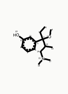 CCC(OC)(c1cccc(O)c1)C(C)CN(C)C